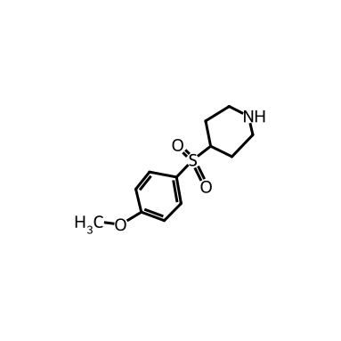 COc1ccc(S(=O)(=O)C2CCNCC2)cc1